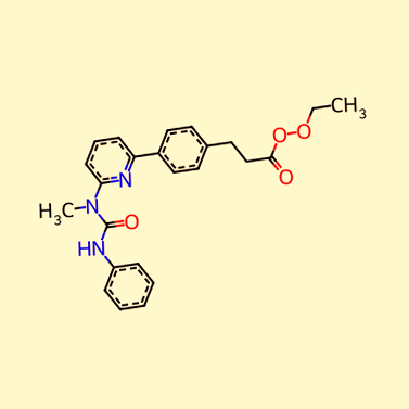 CCOOC(=O)CCc1ccc(-c2cccc(N(C)C(=O)Nc3ccccc3)n2)cc1